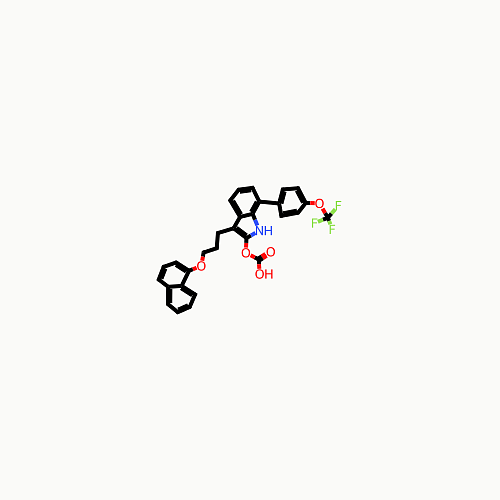 O=C(O)Oc1[nH]c2c(-c3ccc(OC(F)(F)F)cc3)cccc2c1CCCOc1cccc2ccccc12